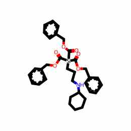 O=C(OCc1ccccc1)[Si](CCCNC1CCCCC1)(C(=O)OCc1ccccc1)C(=O)OCc1ccccc1